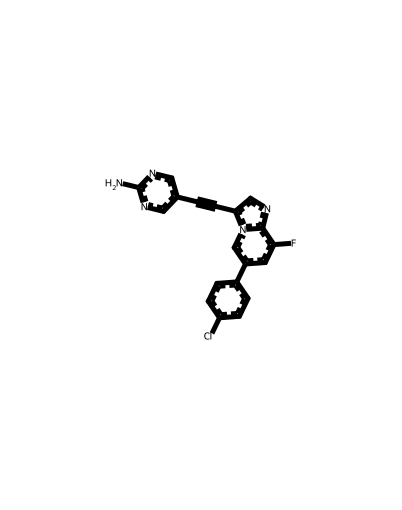 Nc1ncc(C#Cc2cnc3c(F)cc(-c4ccc(Cl)cc4)cn23)cn1